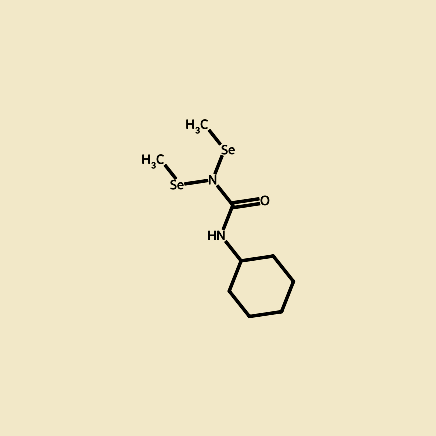 C[Se]N([Se]C)C(=O)NC1CCCCC1